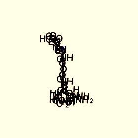 CC[C@@]1(O)C(=O)OCc2c1cc1n(c2=O)Cc2c-1nc1ccccc1c2/C=N\OCCNC(=O)COCCOCCOCC(=O)NCc1ccc(C[C@@H]2NC(=O)NC(=O)[C@H](CC(=O)O)NC(=O)CNC(=O)[C@H](CCCNC(=N)N)NC2=O)cc1